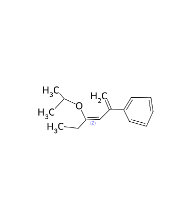 C=C(/C=C(/CC)OC(C)C)c1ccccc1